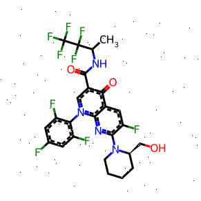 CC(NC(=O)c1cn(-c2c(F)cc(F)cc2F)c2nc(N3CCCC[C@@H]3CO)c(F)cc2c1=O)C(F)(F)C(F)(F)F